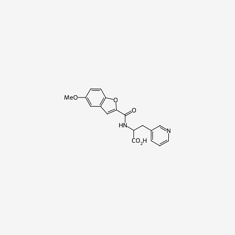 COc1ccc2oc(C(=O)NC(Cc3cccnc3)C(=O)O)cc2c1